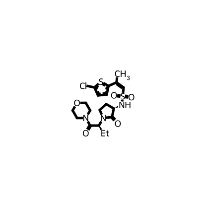 CC[C@@H](C(=O)N1CCOCC1)N1CC[C@H](NS(=O)(=O)C=C(C)c2ccc(Cl)s2)C1=O